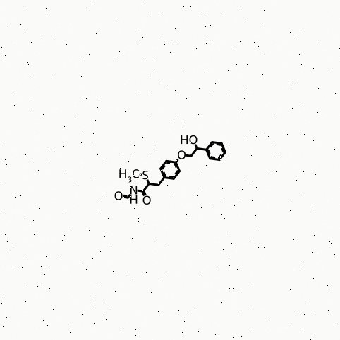 CSC(Cc1ccc(OCC(O)c2ccccc2)cc1)C(=O)NC=O